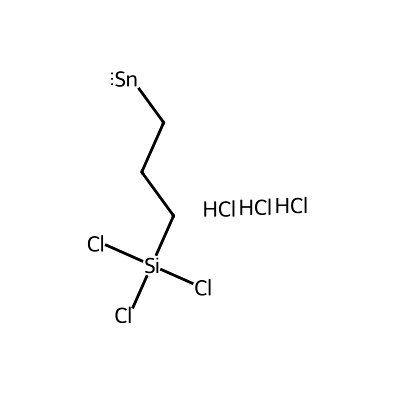 Cl.Cl.Cl.Cl[Si](Cl)(Cl)CC[CH2][Sn]